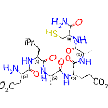 CC(C)C[C@H](NC(=O)[C@@H](N)CC(=O)O)C(=O)N[C@@H](C)C(=O)N[C@@H](CCC(=O)O)C(=O)N[C@@H](C)C(=O)N[C@@H](CS)C(N)=O